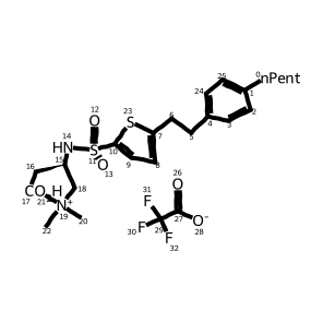 CCCCCc1ccc(CCc2ccc(S(=O)(=O)N[C@H](CC(=O)O)C[N+](C)(C)C)s2)cc1.O=C([O-])C(F)(F)F